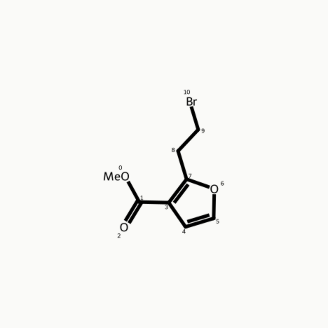 COC(=O)c1ccoc1CCBr